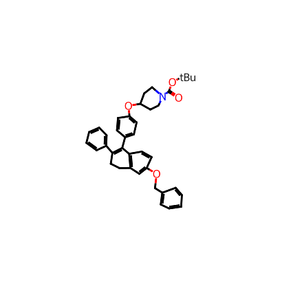 CC(C)(C)OC(=O)N1CCC(Oc2ccc(C3=C(c4ccccc4)CCc4cc(OCc5ccccc5)ccc43)cc2)CC1